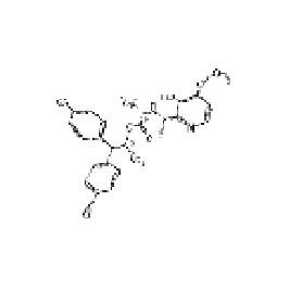 COc1ccnc(C(=S)N[C@@H](C)C(=O)O[C@@H](C)C(c2ccc(Cl)cc2)c2ccc(Cl)cc2)c1O